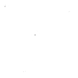 CCCCCCCCCCCCCCCCCCOP(=S)(SCCCCCCCCCCCCCCCCCC)SCCCCCCCCCCCCCCCCCC